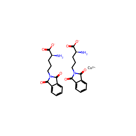 N[C@@H](CCCN1C(=O)c2ccccc2C1=O)C(=O)[O-].N[C@@H](CCCN1C(=O)c2ccccc2C1=O)C(=O)[O-].[Cu+2]